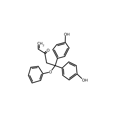 C=CC(=O)CC(Oc1ccccc1)(c1ccc(O)cc1)c1ccc(O)cc1